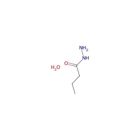 CCCC(=O)NN.O